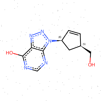 OC[C@@H]1C=C[C@H](n2nnc3c(O)ncnc32)C1